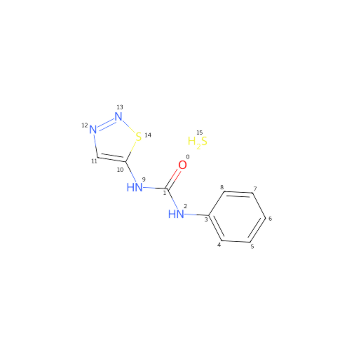 O=C(Nc1ccccc1)Nc1cnns1.S